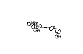 CC(C)Oc1ccc(C#Cc2ccc(CCC(=O)O)cc2)cc1C(=O)N[C@@H](CO)Cc1c[nH]c2ccccc12